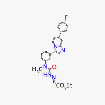 CCOC(=O)/C=N/NC(=O)N(C)c1cccc(-c2cnc3cc(-c4ccc(F)cc4)ccn23)c1